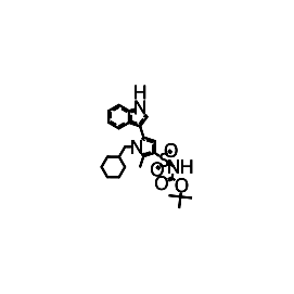 Cc1c(S(=O)(=O)NC(=O)OC(C)(C)C)cc(-c2c[nH]c3ccccc23)n1CC1CCCCC1